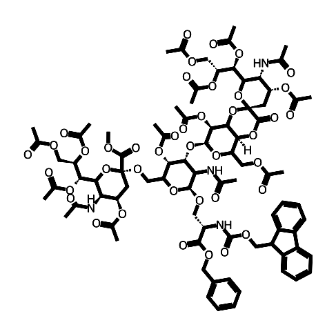 COC(=O)[C@@]1(OCC2O[C@H](OC[C@H](NC(=O)OCC3c4ccccc4-c4ccccc43)C(=O)OCc3ccccc3)C(NC(C)=O)[C@@H](O[C@@H]3OC(COC(C)=O)[C@@H]4OC(=O)[C@]5(C[C@@H](OC(C)=O)[C@@H](NC(C)=O)C([C@H](OC(C)=O)[C@@H](COC(C)=O)OC(C)=O)O5)OC4[C@@H]3OC(C)=O)[C@H]2OC(C)=O)C[C@@H](OC(C)=O)[C@@H](NC(C)=O)C([C@H](OC(C)=O)[C@@H](COC(C)=O)OC(C)=O)O1